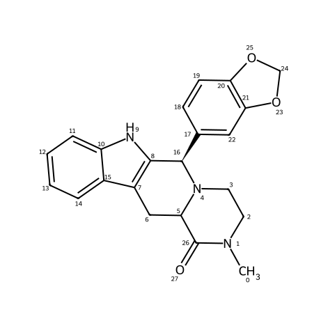 CN1CCN2C(Cc3c([nH]c4ccccc34)[C@H]2c2ccc3c(c2)OCO3)C1=O